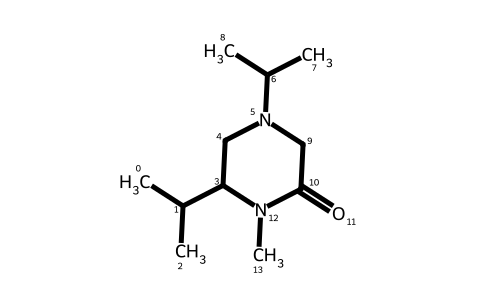 CC(C)C1CN(C(C)C)CC(=O)N1C